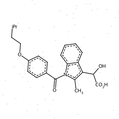 Cc1c(C(O)C(=O)O)c2ccccc2n1C(=O)c1ccc(OCCC(C)C)cc1